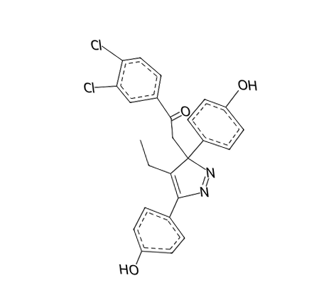 CCC1=C(c2ccc(O)cc2)N=NC1(CC(=O)c1ccc(Cl)c(Cl)c1)c1ccc(O)cc1